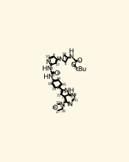 CC(C)(C)OC(=O)NC1CN(c2ccnc(NC(=O)Nc3ccc(-c4cc5c(N6CCOC6)ncnc5[nH]4)cc3)c2)C1